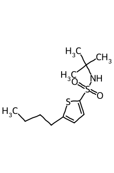 CCCCc1ccc(S(=O)(=O)NC(C)(C)C)s1